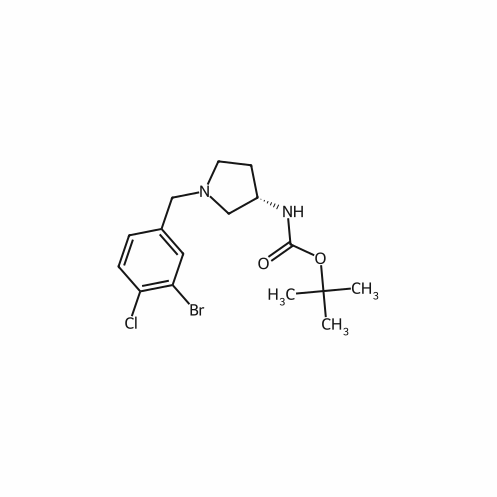 CC(C)(C)OC(=O)N[C@H]1CCN(Cc2ccc(Cl)c(Br)c2)C1